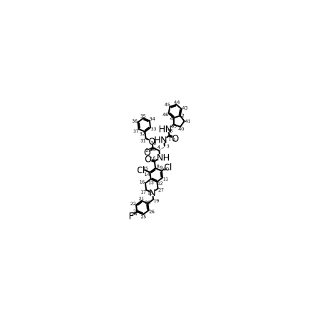 O=C(NC[C@H](NC(=O)c1c(Cl)cc2c(c1Cl)CCN(Cc1ccc(F)cc1)C2)C(=O)OCc1ccccc1)N[C@@H]1CCc2ccccc21